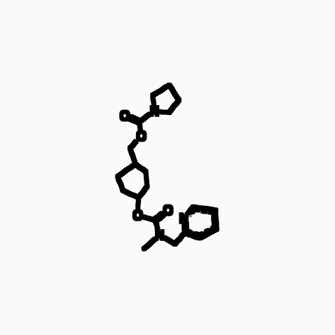 CN(Cc1ccccn1)C(=O)OC1CCC(COC(=O)N2CCCC2)CC1